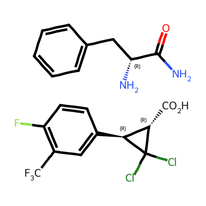 NC(=O)[C@H](N)Cc1ccccc1.O=C(O)[C@H]1[C@H](c2ccc(F)c(C(F)(F)F)c2)C1(Cl)Cl